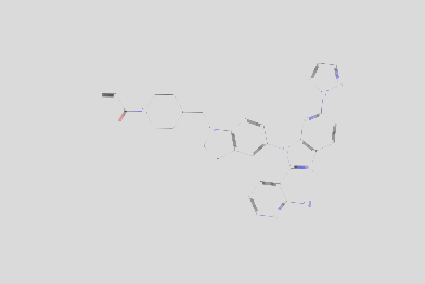 C=CC(=O)N1CCC(CN2CCc3cc(-n4c(-c5cccnc5N)nc5ccc(-n6cccn6)nc54)ccc32)CC1